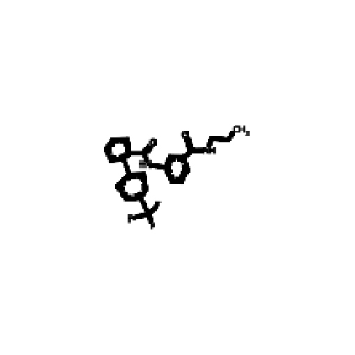 CCCNC(=O)c1cccc(NC(=O)c2ccccc2-c2ccc(C(F)(F)F)cc2)c1